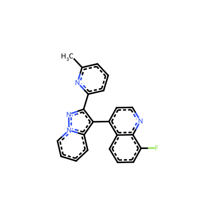 Cc1cccc(-c2nn3ccccc3c2-c2ccnc3c(F)cccc23)n1